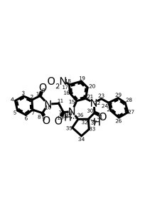 O=C1c2ccccc2C(=O)N1CC(=O)N1c2cc([N+](=O)[O-])ccc2N(Cc2ccccc2)C(=O)[C@H]2CCC[C@H]21